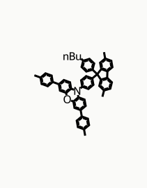 CCCCc1ccc(C2(c3ccc(N4c5ccc(-c6ccc(C)cc6)cc5Oc5cc(-c6ccc(C)cc6)ccc54)cc3)c3cc(C)ccc3-c3ccc(C)cc32)cc1